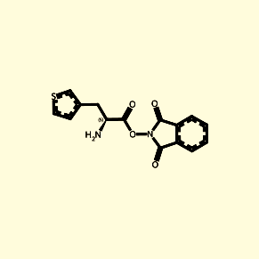 N[C@@H](Cc1ccsc1)C(=O)ON1C(=O)c2ccccc2C1=O